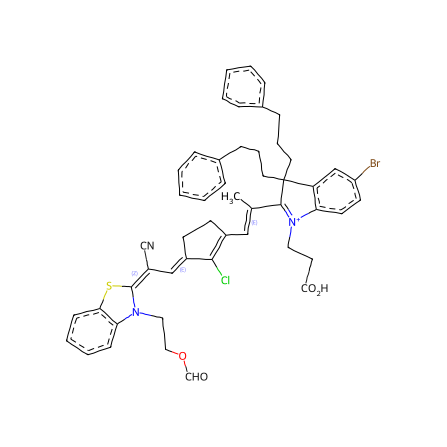 C/C(=C\C1=C(Cl)C(=C/C(C#N)=C2/Sc3ccccc3N2CCOC=O)/CC1)C1=[N+](CCC(=O)O)c2ccc(Br)cc2C1(CCCc1ccccc1)CCCc1ccccc1